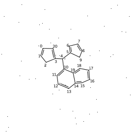 C1=CCC([C](C2=CC=CC2)c2cccc3ccccc23)=C1